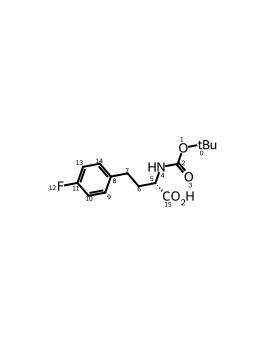 CC(C)(C)OC(=O)N[C@@H](CCc1ccc(F)cc1)C(=O)O